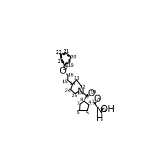 O=C(NO)[C@@H]1CCC[C@H]1C(=O)N1CCC(CCOc2ccccc2)CC1